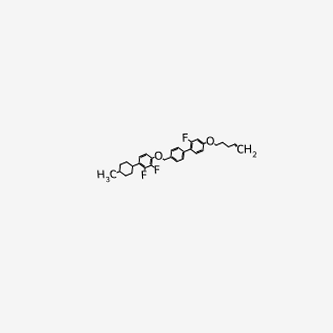 C=CCCCOc1ccc(-c2ccc(COc3ccc(C4CCC(C)CC4)c(F)c3F)cc2)c(F)c1